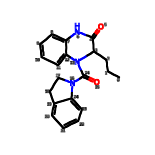 CCCC1C(=O)Nc2ccccc2N1C(=O)N1CCc2ccccc21